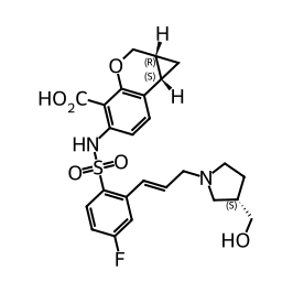 O=C(O)c1c(NS(=O)(=O)c2ccc(F)cc2C=CCN2CC[C@H](CO)C2)ccc2c1OC[C@@H]1C[C@H]21